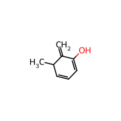 C=C1C(O)=CC=CC1C